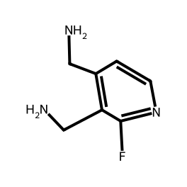 NCc1ccnc(F)c1CN